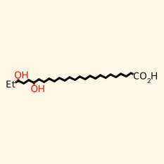 CCC(O)CCC(O)CCCCCCCCCCCCCCCCCCCC(=O)O